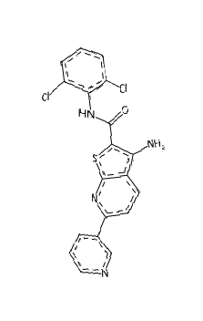 Nc1c(C(=O)Nc2c(Cl)cccc2Cl)sc2nc(-c3cccnc3)ccc12